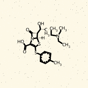 CCN(CC)CC.Cc1ccc(SC2=C(C(=O)O)N3C(=O)[C@H]([C@@H](C)O)[C@H]3S2)cc1